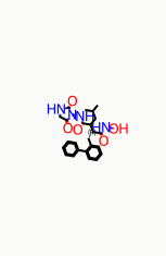 CC(C)CC(C(=O)NN1C(=O)CNC1=O)[C@@H](Cc1ccccc1-c1ccccc1)C(=O)NO